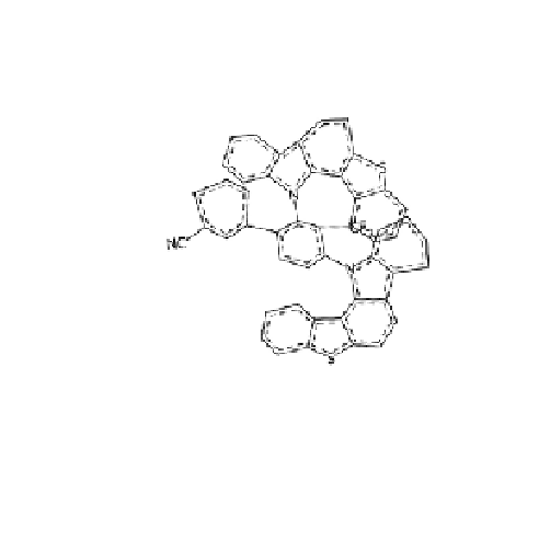 N#Cc1cccc(-c2ccc(-n3c4ccccc4c4ccc5sc6ccccc6c5c43)c(C(F)(F)F)c2-n2c3ccccc3c3ccc4sc5ccccc5c4c32)c1